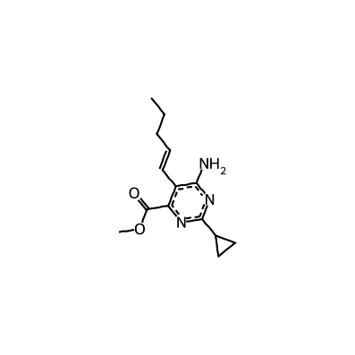 CCCC=Cc1c(N)nc(C2CC2)nc1C(=O)OC